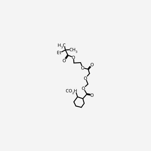 CCC(C)(C)C(=O)OCCOC(=O)COCOC(=O)C1CCCCC1C(=O)O